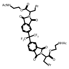 CC(=O)NCCOC(=O)C(CC(C)C)N1C(=O)c2ccc(C(c3ccc4c(c3)C(=O)N(C(CC(C)C)C(=O)OCCNC(C)=O)C4=O)(C(F)(F)F)C(F)(F)F)cc2C1=O